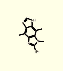 Cc1c2nc[nH]c2c(C)c2c1nc(C(C)C)n2C